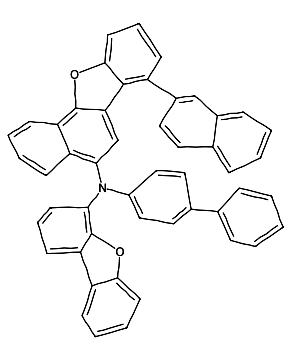 c1ccc(-c2ccc(N(c3cc4c(oc5cccc(-c6ccc7ccccc7c6)c54)c4ccccc34)c3cccc4c3oc3ccccc34)cc2)cc1